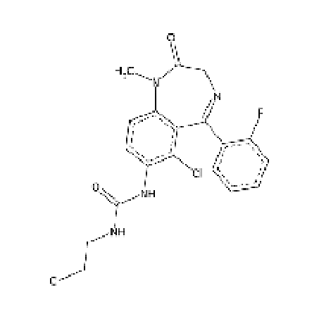 CN1C(=O)CN=C(c2ccccc2F)c2c1ccc(NC(=O)NCCCl)c2Cl